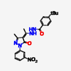 CC1=NN(c2cccc([N+](=O)[O-])c2)C(=O)/C1=C(/C)NNC(=O)c1ccc(C(C)(C)C)cc1